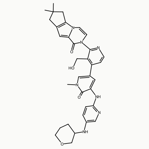 Cn1cc(-c2ccnc(-n3ccn4c5c(cc4c3=O)CC(C)(C)C5)c2CO)cc(Nc2ccc(NC3CCCOC3)cn2)c1=O